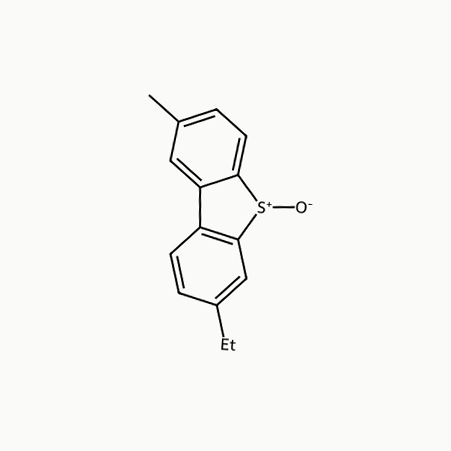 CCc1ccc2c3cc(C)ccc3[s+]([O-])c2c1